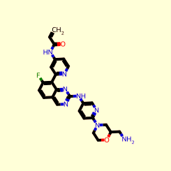 C=CC(=O)Nc1ccnc(-c2c(F)ccc3cnc(Nc4ccc(N5CCOC(CN)C5)nc4)nc23)c1